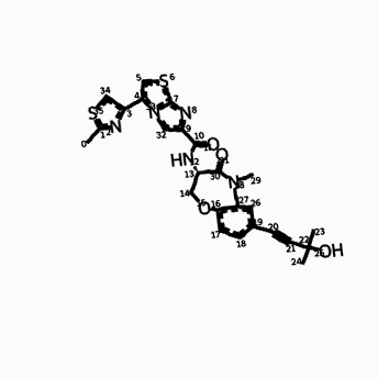 Cc1nc(-c2csc3nc(C(=O)N[C@H]4COc5ccc(C#CC(C)(C)O)cc5N(C)C4=O)cn23)cs1